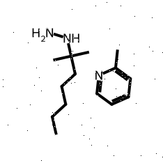 CCCCCC(C)(C)NN.Cc1ccccn1